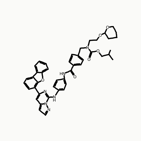 CC(C)COC(=O)N(CCOC1CCCCO1)Cc1ccc(C(=O)Nc2ccc(Nc3nc(-c4cccc5c4oc4ccccc45)cc4ccnn34)cc2)cc1